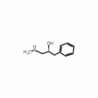 CNC[C@@H](O)Cc1ccccc1